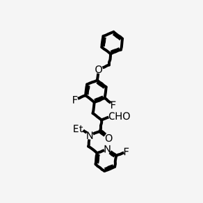 CCN(Cc1cccc(F)n1)C(=O)C(C=O)Cc1c(F)cc(OCc2ccccc2)cc1F